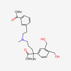 COC(=O)c1cccc(CCN(C)CCCC(C(=O)OC)(c2ccc(CO)c(CO)c2)C(C)C)c1